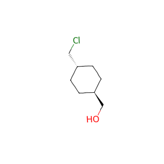 OC[C@H]1CC[C@H](CCl)CC1